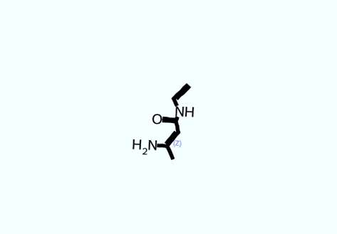 C=CNC(=O)/C=C(/C)N